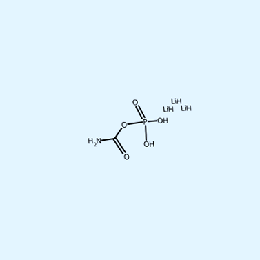 NC(=O)OP(=O)(O)O.[LiH].[LiH].[LiH]